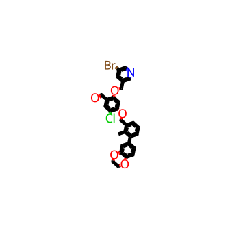 Cc1c(COc2cc(OCc3cncc(Br)c3)c(C=O)cc2Cl)cccc1-c1ccc2c(c1)OCCO2